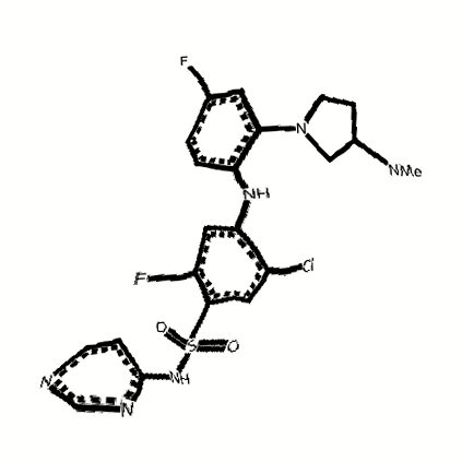 CNC1CCN(c2cc(F)ccc2Nc2cc(F)c(S(=O)(=O)Nc3ccncn3)cc2Cl)C1